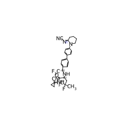 CC(C)(F)C[C@H](N[C@@H](c1ccc(-c2ccc(N3CCCC/C3=N\C#N)cc2)cc1)C(F)(F)F)C(=O)NC1(C#N)CC1